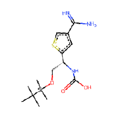 CC(C)(C)[Si](C)(C)OC[C@@H](NC(=O)O)c1cc(C(=N)N)cs1